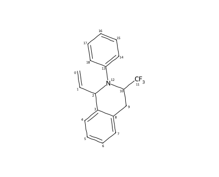 C=CC1c2ccccc2CC(C(F)(F)F)N1c1ccccc1